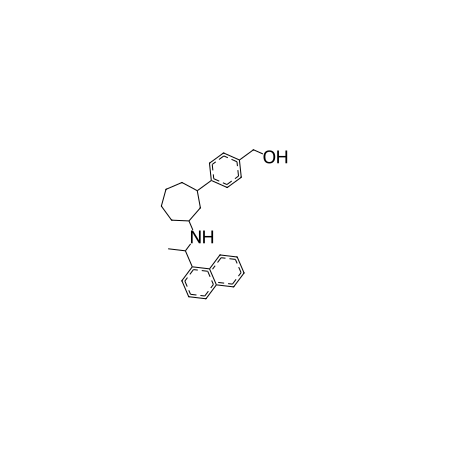 CC(NC1CCCCC(c2ccc(CO)cc2)C1)c1cccc2ccccc12